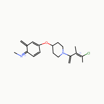 C=C1C=C(OC2CCN(C(=C)/C(C)=C(\C)Cl)CC2)C=C/C1=N/C